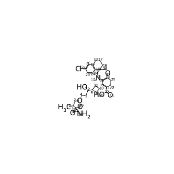 C[C@@H](COCC[C@H](O)[C@@H]1CC[C@H]1CN1C[C@@]2(CCCc3cc(Cl)ccc32)COc2ccc(C(=O)O)cc21)S(N)(=O)=O